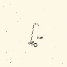 CCCCCCCCCCCCS(=O)(=O)Oc1ccccc1.[NaH]